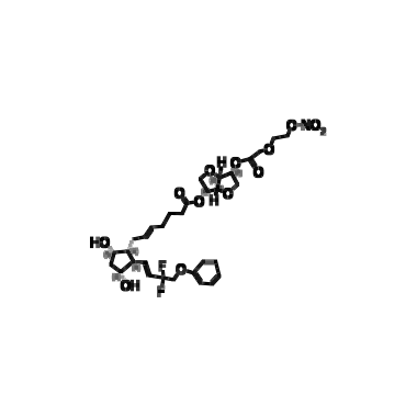 O=C(CCCC=CC[C@@H]1[C@@H](C=CC(F)(F)COc2ccccc2)[C@H](O)C[C@@H]1O)O[C@@H]1CO[C@H]2[C@@H]1OC[C@H]2OC(=O)COCCO[N+](=O)[O-]